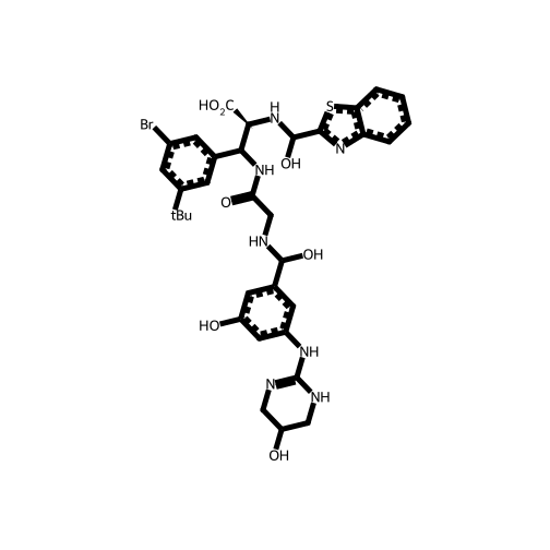 CC(C)(C)c1cc(Br)cc(C(NC(=O)CNC(O)c2cc(O)cc(NC3=NCC(O)CN3)c2)[C@H](NC(O)c2nc3ccccc3s2)C(=O)O)c1